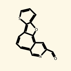 O=Cc1cc2c(cn1)=CC=Cc1c3c(oc1=2)=CC=CS3